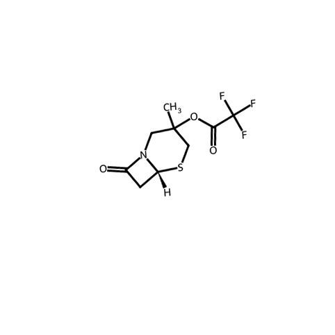 CC1(OC(=O)C(F)(F)F)CS[C@@H]2CC(=O)N2C1